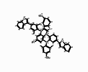 Cc1cc(C(C)(C)C)cc(C)c1N1c2cc(-c3cc4ccccc4o3)ccc2B2c3sc4ccc(C(C)(C)C)cc4c3N(c3c(C)cc(-c4coc5ccccc45)cc3C)c3cc(C(C)C)cc1c32